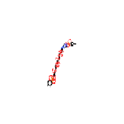 Cc1ccc(S(=O)(=O)OCCOCCOCCOCCOCCOCCN2CCN(OS(=O)(=O)c3ccc(C)cc3)CC2)cc1